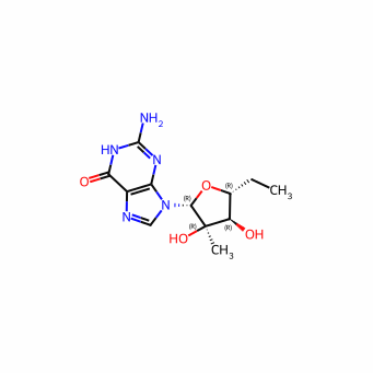 CC[C@H]1O[C@@H](n2cnc3c(=O)[nH]c(N)nc32)[C@](C)(O)[C@@H]1O